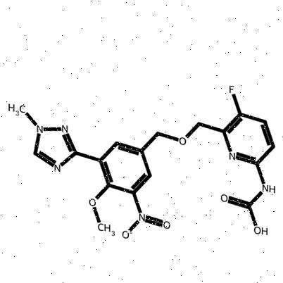 COc1c(-c2ncn(C)n2)cc(COCc2nc(NC(=O)O)ccc2F)cc1[N+](=O)[O-]